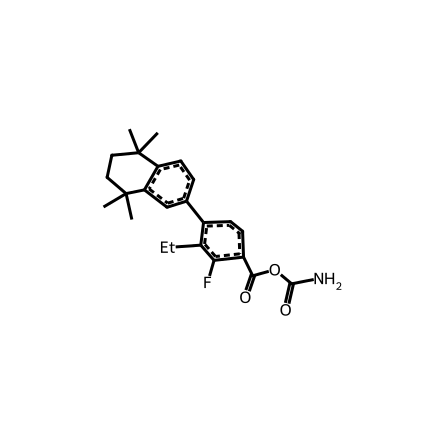 CCc1c(-c2ccc3c(c2)C(C)(C)CCC3(C)C)ccc(C(=O)OC(N)=O)c1F